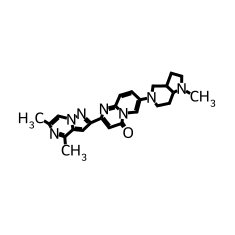 Cc1cn2nc(-c3cc(=O)n4cc(N5CCC6C(CCN6C)C5)ccc4n3)cc2c(C)n1